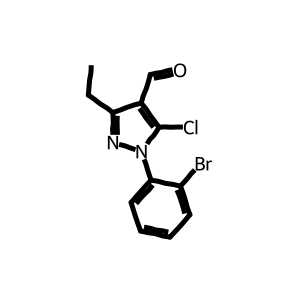 CCc1nn(-c2ccccc2Br)c(Cl)c1C=O